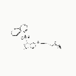 CNCCCOc1ccc2[nH]nc(S(=O)(=O)c3cccc4ccccc34)c2c1